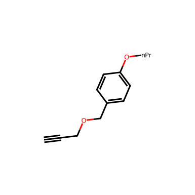 C#CCOCc1ccc(OCCC)cc1